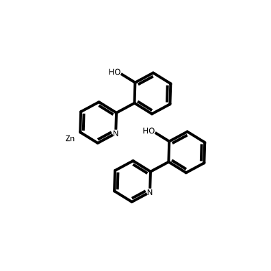 Oc1ccccc1-c1ccccn1.Oc1ccccc1-c1ccccn1.[Zn]